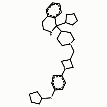 c1ccc2c(c1)CCNC2(C1CCCC1)C1CCN(CC2CN(c3ccc(SC4CCCC4)cc3)C2)CC1